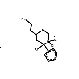 N#CCCC1CC[Si](Cl)(Cl)C(Cl)(c2ccccc2)C1